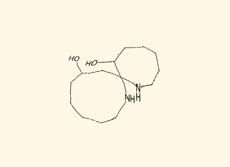 OC1CCCCCNC2(C1)NCCCCCC2O